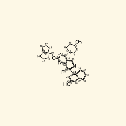 COC1CCN(c2nc(OCC34CCCN3CCC4)nc3c(F)c(-c4cc(O)cc5ccccc45)ncc23)CC1